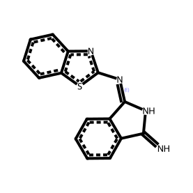 N=C1N/C(=N/c2nc3ccccc3s2)c2ccccc21